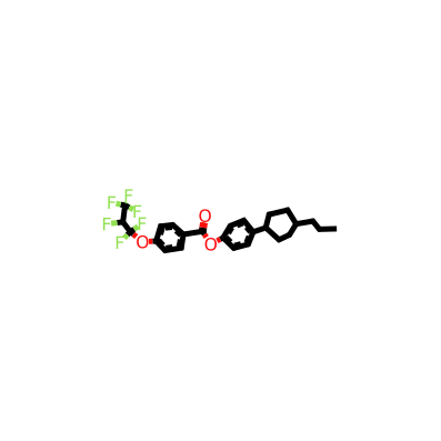 CCCC1CCC(c2ccc(OC(=O)c3ccc(OC(F)(F)C(F)C(F)(F)F)cc3)cc2)CC1